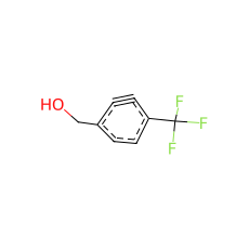 OCc1c#cc(C(F)(F)F)cc1